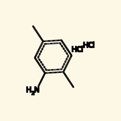 Cc1ccc(C)c(N)c1.Cl.Cl